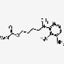 CNC(=O)OCCCCN(C)c1nccc(N)c1N